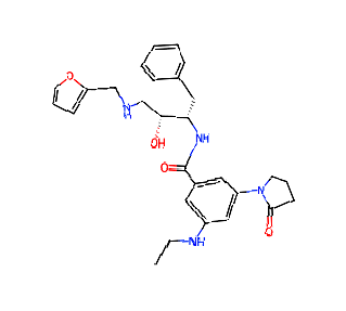 CCNc1cc(C(=O)N[C@@H](Cc2ccccc2)[C@H](O)CNCc2ccco2)cc(N2CCCC2=O)c1